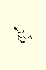 C#CC(=O)Cc1cc(C2CC2)ccn1